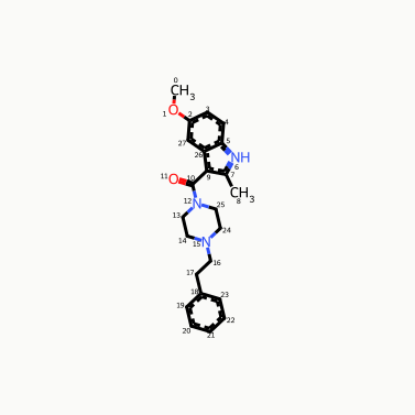 COc1ccc2[nH]c(C)c(C(=O)N3CCN(CCc4ccccc4)CC3)c2c1